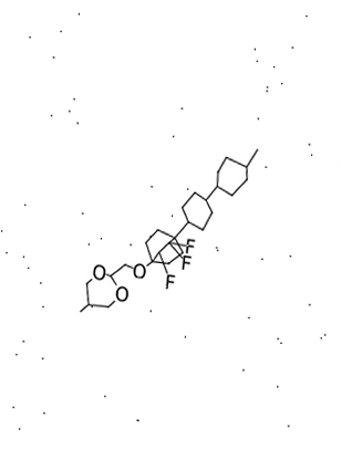 CC1CCC(C2CCC(C34CCC(OCC5OCC(C)CO5)(CC3)C(F)C4(F)F)CC2)CC1